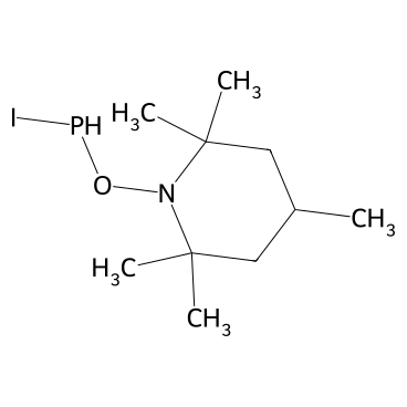 CC1CC(C)(C)N(OPI)C(C)(C)C1